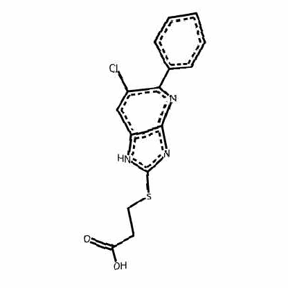 O=C(O)CCSc1nc2nc(-c3ccccc3)c(Cl)cc2[nH]1